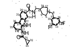 O=C(NCC1CCN(Cc2cc(F)cc(F)c2)CC1)c1ccc2c(c1)[nH]c1c(NC(=O)C3CC3)nccc12